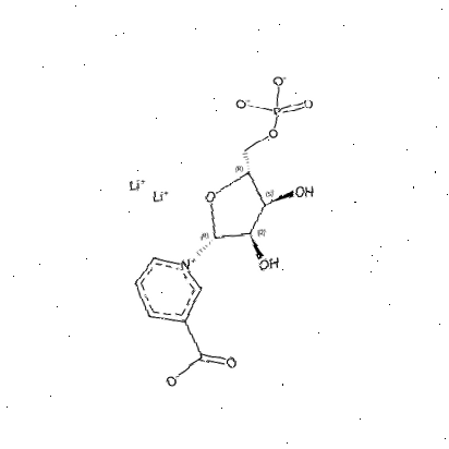 O=C([O-])c1ccc[n+]([C@@H]2O[C@H](COP(=O)([O-])[O-])[C@@H](O)[C@H]2O)c1.[Li+].[Li+]